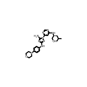 CC(C)C[C@@H](CO)Nc1cc(-n2nc(Nc3ccc(N4CCOCC4)cc3)nc2N)ncn1